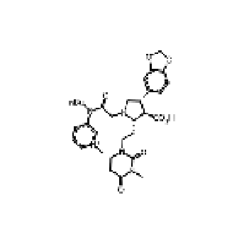 CCCCN(C(=O)CN1C[C@H](c2ccc3c(c2)OCO3)[C@@H](C(=O)O)[C@@H]1CCN1CCC(=O)N(C)C1=O)c1ccc[n+](C)c1